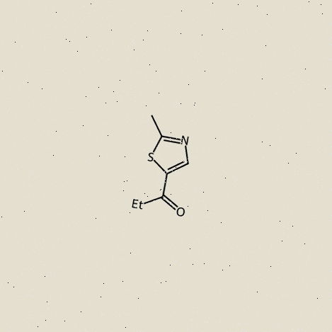 CCC(=O)c1cnc(C)s1